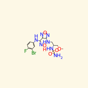 COCC(CNc1nonc1C(=NO)Nc1ccc(F)c(Br)c1)NS(N)(=O)=O